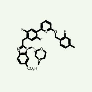 Cc1ccc(COc2cccc(-c3cc(F)c(Cc4nc5ccc(C(=O)O)cc5n4C[C@H]4CN(C)CCO4)cc3F)n2)c(F)c1